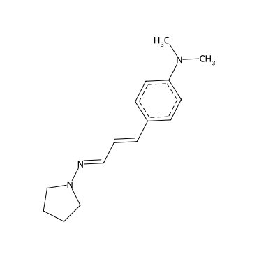 CN(C)c1ccc(C=CC=NN2CCCC2)cc1